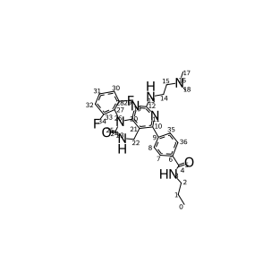 CCCNC(=O)c1ccc(-c2nc(NCCN(C)C)nc3c2CNC(=O)N3c2c(F)cccc2F)cc1